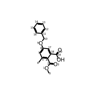 COC(=O)c1c(C)cc(OCc2ccccc2)cc1C(=O)O